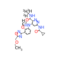 [2H]C([2H])([2H])NC(=O)c1nnc(NC(=O)C2CC2)cc1Nc1cccc(-c2noc(COCC)n2)c1OC